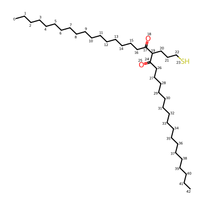 CCCCCCCCCCCCCCCCCC(=O)C(CCCS)C(=O)CCCCCCCCCCCCCCCCC